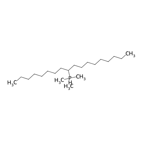 CCCCCCCCCC(CCCCCCCC)[PH](C)(C)C